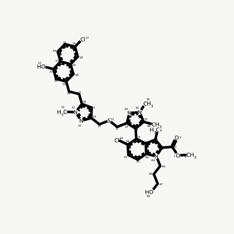 COC(=O)c1c(C)c2c(-c3c(CSCc4cc(CCc5cc(O)c6ccc(Cl)cc6c5)n(C)n4)nn(C)c3C)c(Cl)ccc2n1CCCO